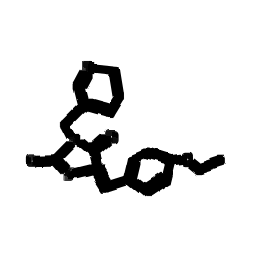 CCOc1ccc(C=C2SC(=O)N(Cc3cccnc3)C2=O)cc1